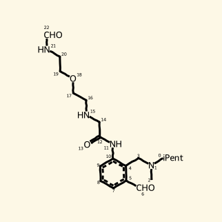 CCCC(C)N(C)Cc1c(C=O)cccc1NC(=O)CNCCOCCNC=O